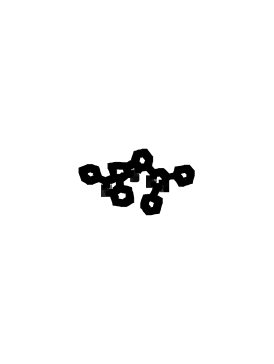 c1ccc(-c2cc(-c3cccc4c3sc3c4ccc4c(-c5ccccc5)nc5ccccc5c43)nc(-c3ccccc3)n2)cc1